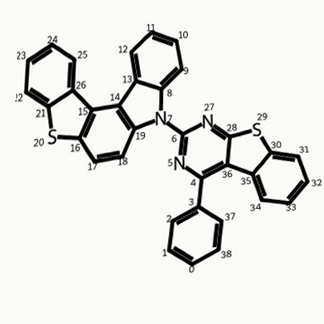 c1ccc(-c2nc(-n3c4ccccc4c4c5c(ccc43)sc3ccccc35)nc3sc4ccccc4c23)cc1